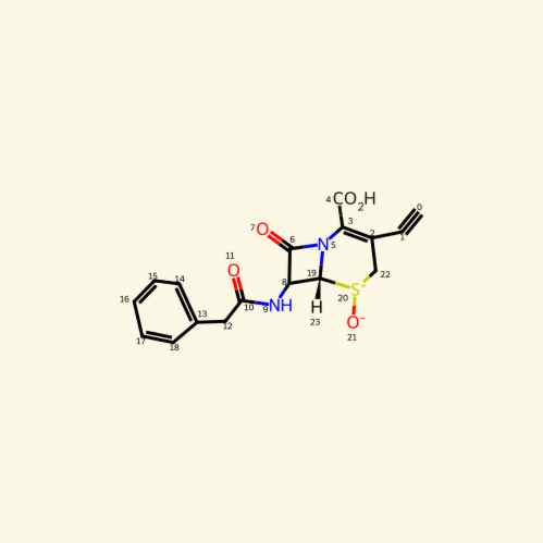 C#CC1=C(C(=O)O)N2C(=O)C(NC(=O)Cc3ccccc3)[C@H]2[S+]([O-])C1